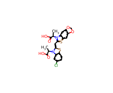 CC(C(=O)O)N1/C(=C/c2sc3cc4c(cc3[n+]2C(C)C(=O)O)OCO4)Sc2ccc(Cl)cc21